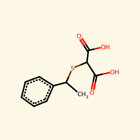 CC(SC(C(=O)O)C(=O)O)c1ccccc1